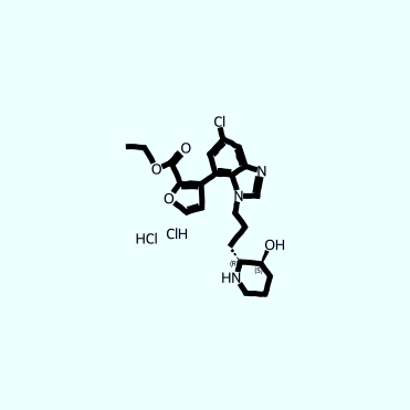 CCOC(=O)c1occc1-c1cc(Cl)cc2ncn(CCC[C@H]3NCCC[C@@H]3O)c12.Cl.Cl